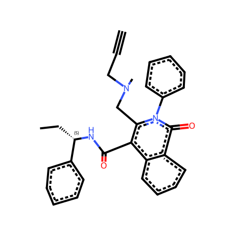 C#CCN(C)Cc1c(C(=O)N[C@@H](CC)c2ccccc2)c2ccccc2c(=O)n1-c1ccccc1